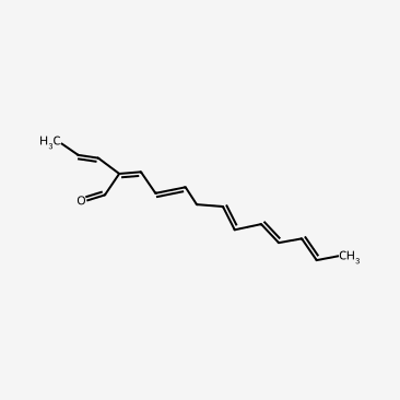 CC=CC=CC=CCC=CC=C(C=O)C=CC